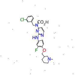 CN1CCCC(COc2ccc(Nc3nccc(N(Cc4cccc(Cl)c4)C(=O)O)n3)cc2F)C1